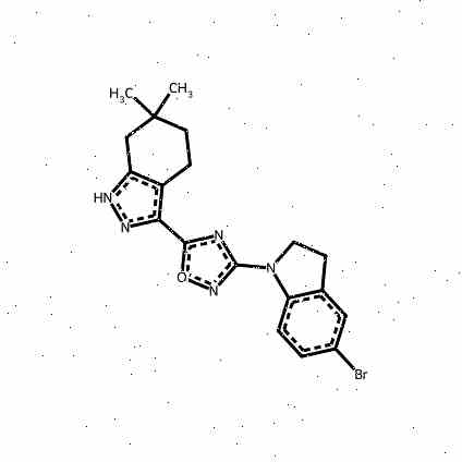 CC1(C)CCc2c(-c3nc(N4CCc5cc(Br)ccc54)no3)n[nH]c2C1